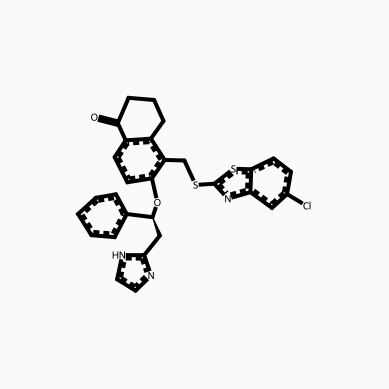 O=C1CCCc2c1ccc(O[C@@H](Cc1ncc[nH]1)c1ccccc1)c2CSc1nc2cc(Cl)ccc2s1